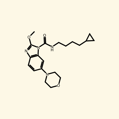 COc1nc2ccc(N3CCOCC3)cc2n1C(=O)NCCCCC1CC1